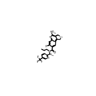 CCCN(C(=O)c1cc2c3c(c(N)nc2cc1F)COC3)[C@@H](C)c1ccc(C(F)(F)F)cn1